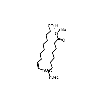 CCCCCCCC/C=C\CCCCCCCC(=O)O.CCCCCCCCCCCCCCCCCC(=O)OCCCC